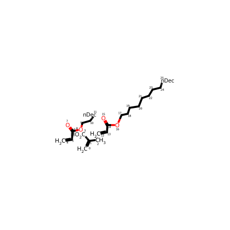 C=C(C)C(=O)O.C=CC(=O)OCCCCCCCCCCCC.C=CC(=O)OCCCCCCCCCCCCCCCCCC